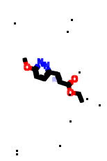 CCOC(=O)/C=C/c1ccc(OC)nn1